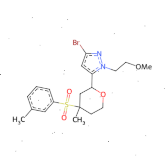 COCCn1nc(Br)cc1C1CC(C)(S(=O)(=O)c2cccc(C)c2)CCO1